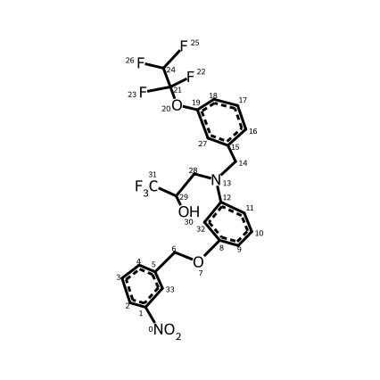 O=[N+]([O-])c1cccc(COc2cccc(N(Cc3cccc(OC(F)(F)C(F)F)c3)CC(O)C(F)(F)F)c2)c1